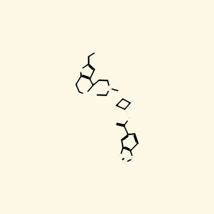 CCc1cc2c(s1)CCO[C@@]21CCN(C[C@H]2C[C@@H](NC(=O)c3ccc4[nH]nnc4c3)C2)[C@@H](C)C1